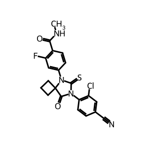 CNC(=O)c1ccc(N2C(=S)N(c3ccc(C#N)cc3Cl)C(=O)C23CCC3)cc1F